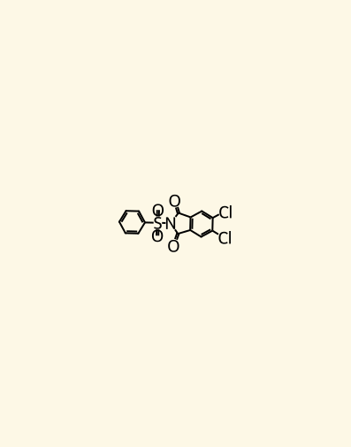 O=C1c2cc(Cl)c(Cl)cc2C(=O)N1S(=O)(=O)c1ccccc1